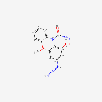 COc1ccccc1N(C(N)=O)c1ccc(N=[N+]=[N-])cc1O